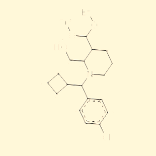 CCOC(OCC)C1CCCN(C(c2ccc(Cl)cc2)C2CCC2)C1CO